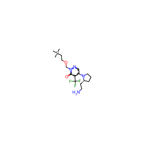 C[Si](C)(C)CCOCn1ncc(N2CCC[C@H]2CCN)c(C(F)(F)F)c1=O